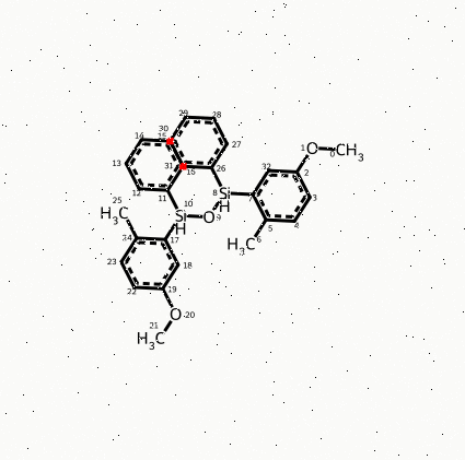 COc1ccc(C)c([SiH](O[SiH](c2ccccc2)c2cc(OC)ccc2C)c2ccccc2)c1